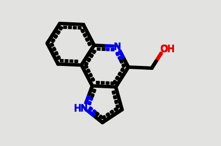 OCc1nc2ccccc2c2[nH]ccc12